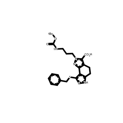 CC(C)(C)OC(=O)NCCCn1nc2c(c1C(=O)O)CCc1[nH]nc(SCc3ccccc3)c1-2